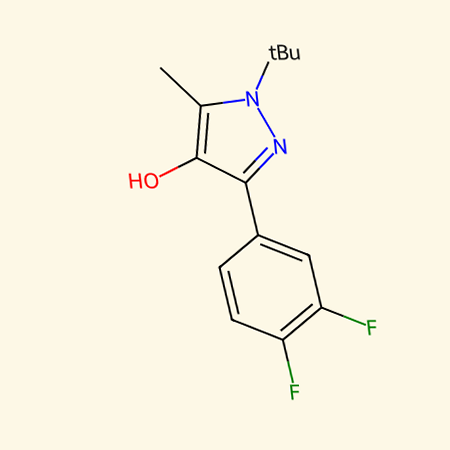 Cc1c(O)c(-c2ccc(F)c(F)c2)nn1C(C)(C)C